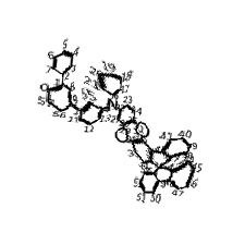 C1=C(c2ccccc2)C=C(c2cccc(N(c3ccccc3)c3ccc4c(c3)OC3=C(O4)C4=C(CC3)C3(c5ccccc54)c4ccccc4-c4ccccc43)c2)CC1